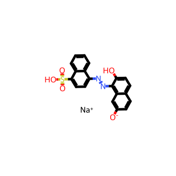 O=S(=O)(O)c1ccc(N=Nc2c(O)ccc3ccc([O-])cc23)c2ccccc12.[Na+]